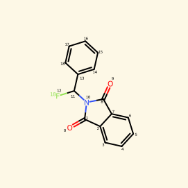 O=C1c2ccccc2C(=O)N1C([18F])c1ccccc1